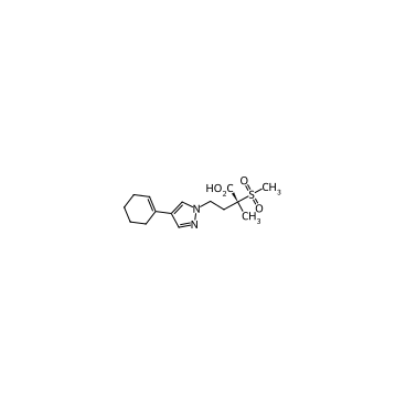 C[C@@](CCn1cc(C2=CCCCC2)cn1)(C(=O)O)S(C)(=O)=O